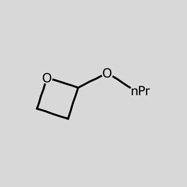 [CH2]CCOC1CCO1